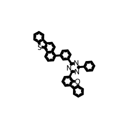 c1ccc(-c2nc(-c3cccc(-c4cccc5c4ccc4c6ccccc6sc54)c3)nc(-c3cccc4c3oc3ccccc34)n2)cc1